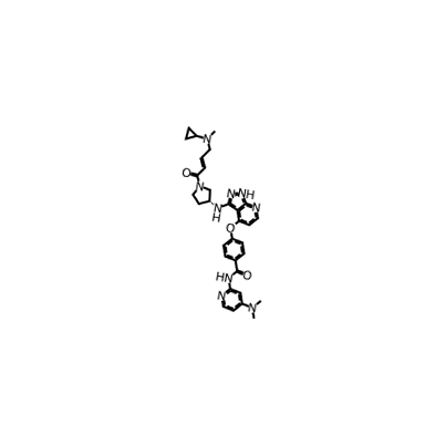 CN(C)c1ccnc(NC(=O)c2ccc(Oc3ccnc4[nH]nc(N[C@@H]5CCN(C(=O)/C=C/CN(C)C6CC6)C5)c34)cc2)c1